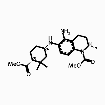 COC(=O)[C@@H]1CC[C@H](Nc2ccc3c(c2N)CC[C@H](C)N3C(=O)OC)CC1(C)C